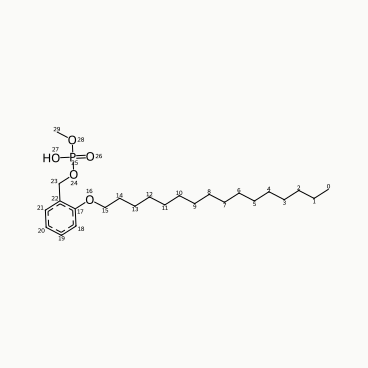 CCCCCCCCCCCCCCCCOc1ccccc1COP(=O)(O)OC